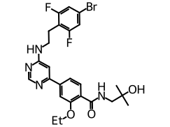 CCOc1cc(-c2cc(NCCc3c(F)cc(Br)cc3F)ncn2)ccc1C(=O)NCC(C)(C)O